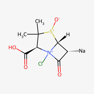 CC1(C)[C@H](C(=O)O)[N+]2(Cl)C(=O)[C@@H]([Na])[C@H]2[S+]1[O-]